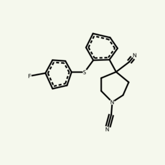 N#CN1CCC(C#N)(c2ccccc2Sc2ccc(F)cc2)CC1